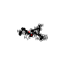 Cc1c(-c2ccc(-c3ccc4cccc(C(=O)Nc5nc6ccccc6s5)c4c3)nc2C(=O)O)cnn1CC12CC3(C)CC(C)(C1)CC(OCCN(C)C(=O)OCc1ccc(O[C@@H]4O[C@H](C(=O)O)[C@@H](O)[C@H](O)[C@H]4O)cc1CCCCNC(=O)[C@H](CS(=O)(=O)O)NC(=O)CCCCCN1C(=O)C=CC1=O)(C3)C2